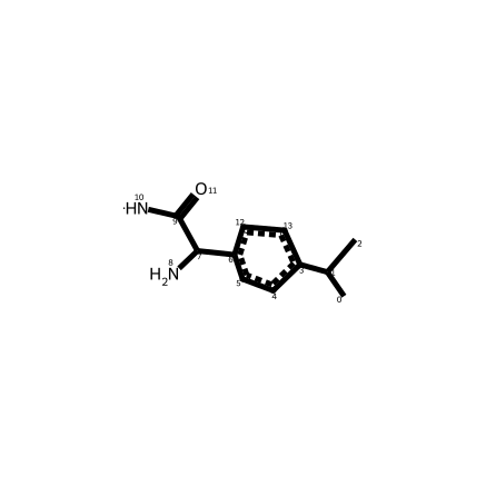 CC(C)c1ccc(C(N)C([NH])=O)cc1